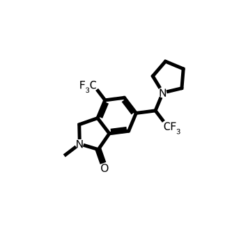 CN1Cc2c(cc(C(N3CCCC3)C(F)(F)F)cc2C(F)(F)F)C1=O